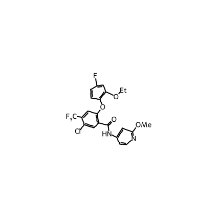 CCOc1cc(F)ccc1Oc1cc(C(F)(F)F)c(Cl)cc1C(=O)Nc1ccnc(OC)c1